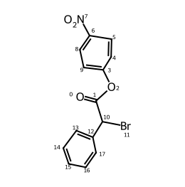 O=C(Oc1ccc([N+](=O)[O-])cc1)C(Br)c1ccccc1